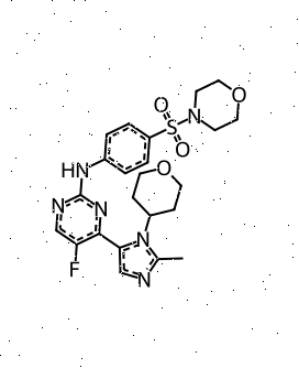 Cc1ncc(-c2nc(Nc3ccc(S(=O)(=O)N4CCOCC4)cc3)ncc2F)n1C1CCOCC1